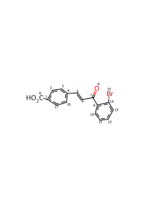 O=C(O)c1ccc(C=CC(=O)c2ccccc2Br)cc1